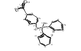 CCC(=O)c1ccc(O[Si](c2ccccc2)(c2ccccc2)C(C)(C)C)cc1